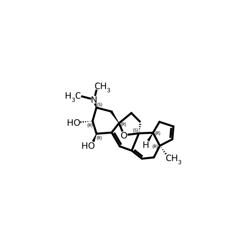 CN(C)[C@H]1C[C@@]23CC[C@@]4(O2)C(=CC[C@]2(C)C=CC[C@H]24)C=C3[C@@H](O)[C@@H]1O